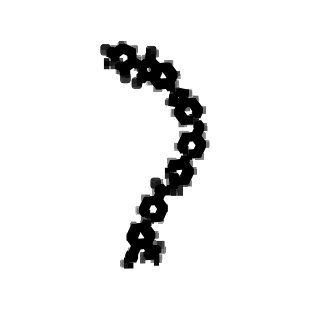 N#Cc1ccc(N2CCC(C(=O)Nc3ccc(N4CCC(CN5CCC6(CC5)CN(c5ccc7c(c5)C(=O)N(C5CCC(=O)NC5=O)C7=O)C6)CC4)cn3)CC2)cc1C(F)(F)F